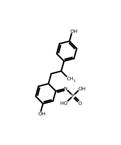 CC(CC1C=CC(O)=CC1=NP(=O)(O)O)c1ccc(O)cc1